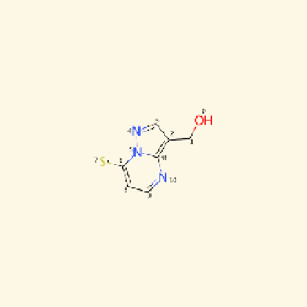 OCc1cnn2c([S])ccnc12